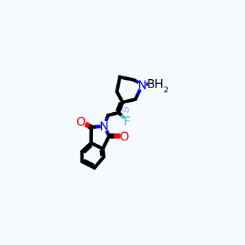 BN1CCC/C(=C(/F)CN2C(=O)c3ccccc3C2=O)C1